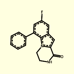 O=C1NCCn2c1cc1cc(F)cc(-c3ccccc3)c12